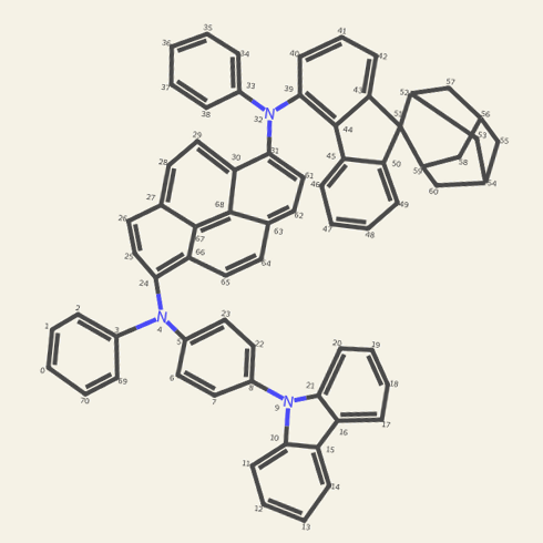 c1ccc(N(c2ccc(-n3c4ccccc4c4ccccc43)cc2)c2ccc3ccc4c(N(c5ccccc5)c5cccc6c5-c5ccccc5C65C6CC7CC(C6)CC5C7)ccc5ccc2c3c54)cc1